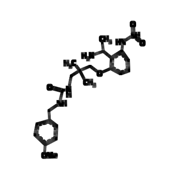 COc1ccc(CNC(=O)NCC(C)(C)COc2cccc(N[SH](=O)=O)c2C(C)N)cc1